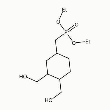 CCOP(=O)(CC1CCC(CO)C(CO)C1)OCC